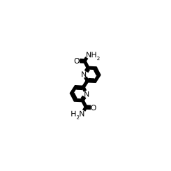 NC(=O)c1cccc(-c2cccc(C(N)=O)n2)n1